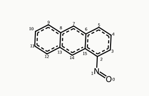 O=Nc1cccc2cc3ccccc3cc12